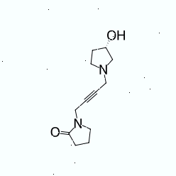 O=C1CCCN1CC#CCN1CC[C@H](O)C1